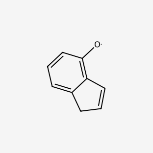 [O]c1cccc2c1C=CC2